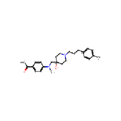 COC(=O)c1ccc(N(C)CC2(O)CCN(CCCc3ccc(C#N)cc3)CC2)cc1